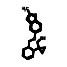 Cc1cc2cc(OCC3C=CC=CN3C3(CO)CC3)ccc2o1